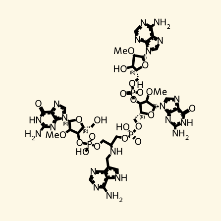 COC1C(O)[C@@H](COP(=O)(O)OC2C(OC)[C@H](n3cnc4c(=O)[nH]c(N)nc43)O[C@@H]2COP(=O)(O)OCC(COP(=O)(O)OC2C(OC)[C@H](n3cnc4c(=O)[nH]c(N)nc43)O[C@@H]2CO)NCc2c[nH]c3c(N)ncnc23)O[C@H]1n1cnc2c(N)ncnc21